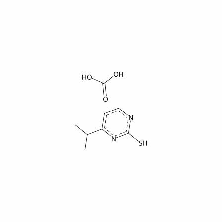 CC(C)c1ccnc(S)n1.O=C(O)O